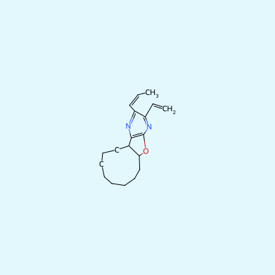 C=Cc1nc2c(nc1/C=C\C)C1CCCCCCCCC1O2